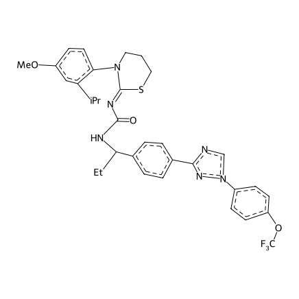 CCC(NC(=O)/N=C1\SCCCN1c1ccc(OC)cc1C(C)C)c1ccc(-c2ncn(-c3ccc(OC(F)(F)F)cc3)n2)cc1